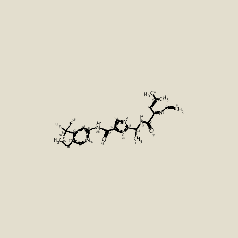 C=C/N=C(\C=C(C)C)C(=O)NC(C)c1ncc(C(=O)Nc2cc(C(F)(F)F)c(CC)cn2)s1